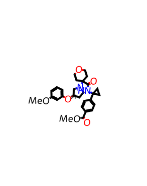 COC(=O)c1ccc(C2(NC(=O)C3(N4CC[C@@H](Oc5cccc(OC)c5)C4)CCOCC3)CC2)cc1